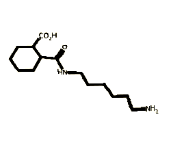 NCCCCCCNC(=O)C1CCCCC1C(=O)O